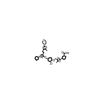 COc1cc(COc2nn(-c3ccccc3)cc2C=Cc2nc(N3CCOCC3)sc2C)ccc1OCc1nc(-c2cccc(C(=O)O)c2)oc1C